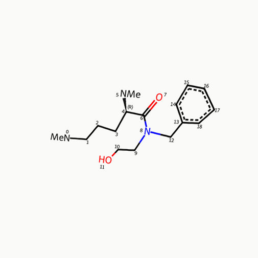 CNCCC[C@@H](NC)C(=O)N(CCO)Cc1ccccc1